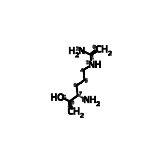 C=C(N)NCCC[C@H](N)C(=C)O